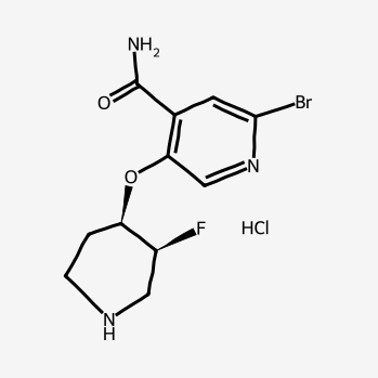 Cl.NC(=O)c1cc(Br)ncc1O[C@@H]1CCNC[C@@H]1F